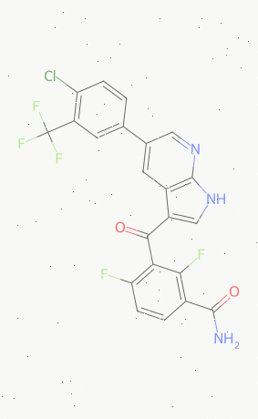 NC(=O)c1ccc(F)c(C(=O)c2c[nH]c3ncc(-c4ccc(Cl)c(C(F)(F)F)c4)cc23)c1F